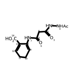 CC(=O)NNC(=O)CC(=O)NC1=CCCC=C1C(=O)O